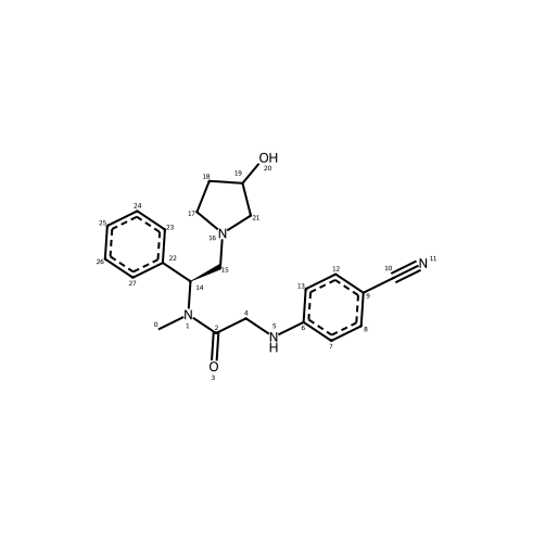 CN(C(=O)CNc1ccc(C#N)cc1)[C@H](CN1CCC(O)C1)c1ccccc1